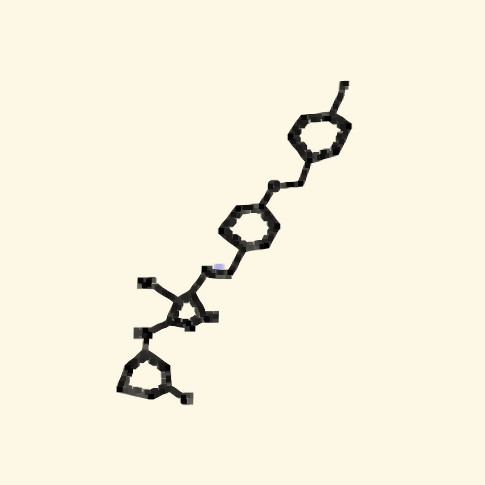 N#Cc1c(Nc2cccc(Cl)c2)n[nH]c1/N=C/c1ccc(OCc2ccc(F)cc2)cc1